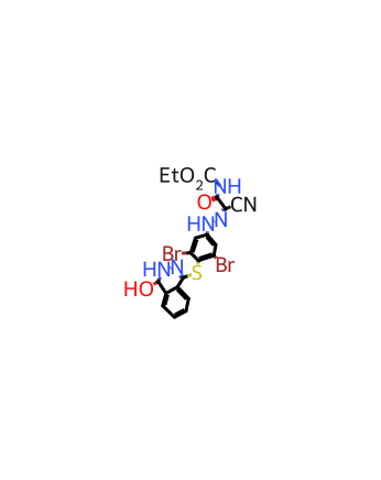 CCOC(=O)NC(=O)/C(C#N)=N\Nc1cc(Br)c(SC2=NNC(O)c3ccccc32)c(Br)c1